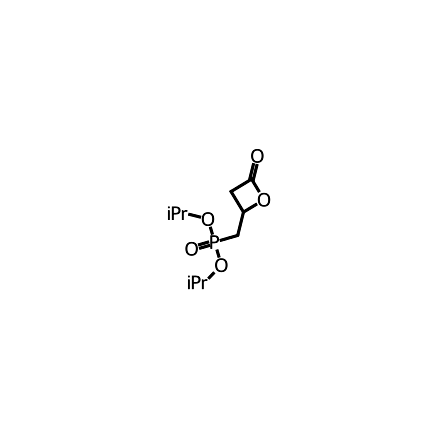 CC(C)OP(=O)(CC1CC(=O)O1)OC(C)C